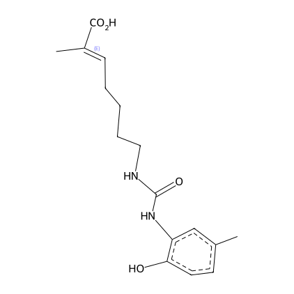 C/C(=C\CCCCNC(=O)Nc1cc(C)ccc1O)C(=O)O